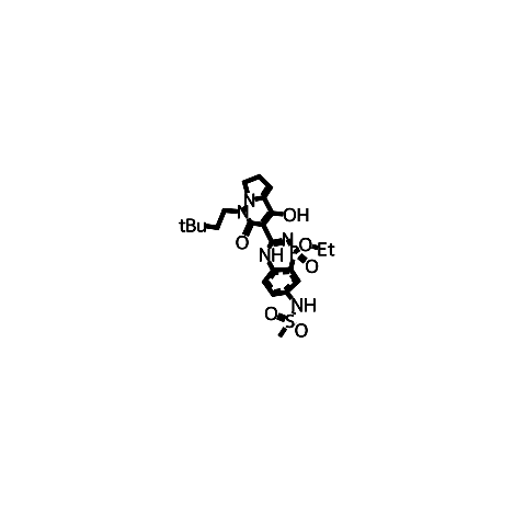 CCOP1(=O)N=C(C2=C(O)C3=CCCN3N(CCC(C)(C)C)C2=O)Nc2ccc(NS(C)(=O)=O)cc21